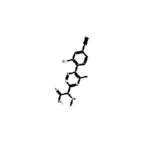 C#Cc1ccc(-c2nnc(C(NC)C(N)=O)nc2C)c(O)c1